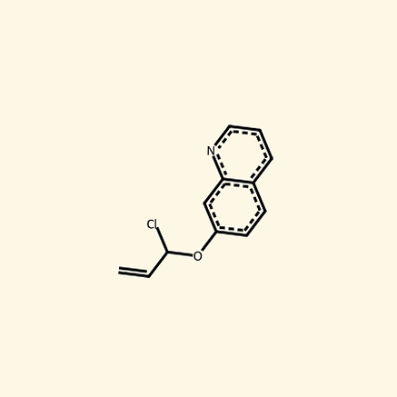 C=CC(Cl)Oc1ccc2cccnc2c1